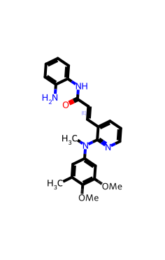 COc1cc(N(C)c2ncccc2/C=C/C(=O)Nc2ccccc2N)cc(C)c1OC